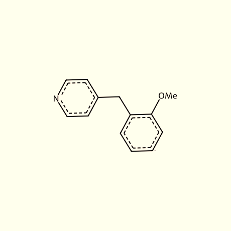 COc1c[c]ccc1Cc1ccncc1